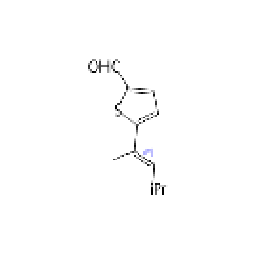 C/C(=C\C(C)C)c1ccc(C=O)s1